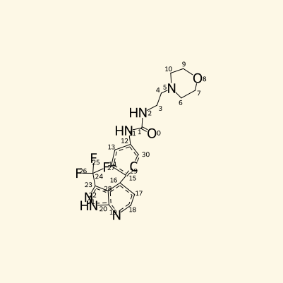 O=C(NCCN1CCOCC1)Nc1ccc(-c2ccnc3[nH]nc(C(F)(F)F)c23)cc1